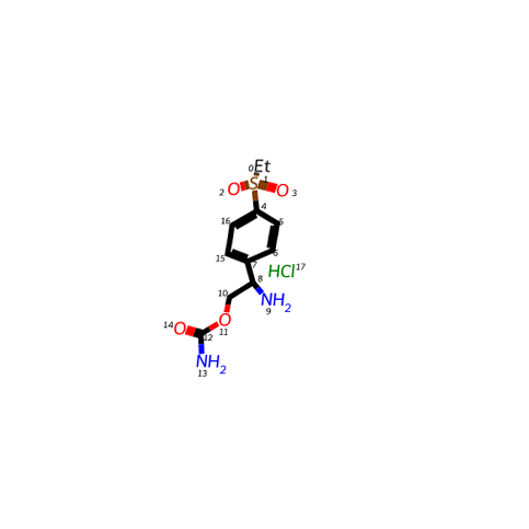 CCS(=O)(=O)c1ccc(C(N)COC(N)=O)cc1.Cl